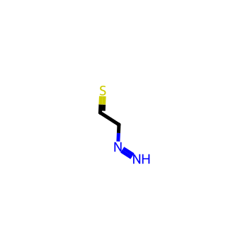 N=NCC=S